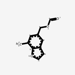 Cc1cc(COC=O)cc2ccoc12